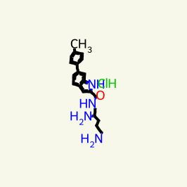 Cc1ccc(-c2ccc3cc(C(=O)NCC(N)CCCN)[nH]c3c2)cc1.Cl